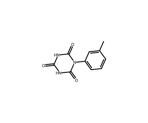 Cc1cccc(-n2c(=O)[nH]c(=O)[nH]c2=O)c1